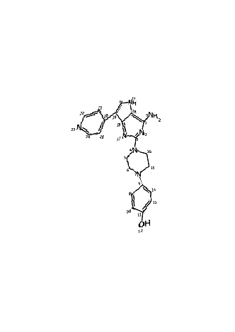 Nc1nc(N2CCN(c3ccc(O)cc3)CC2)nc2c(-c3ccncc3)c[nH]c12